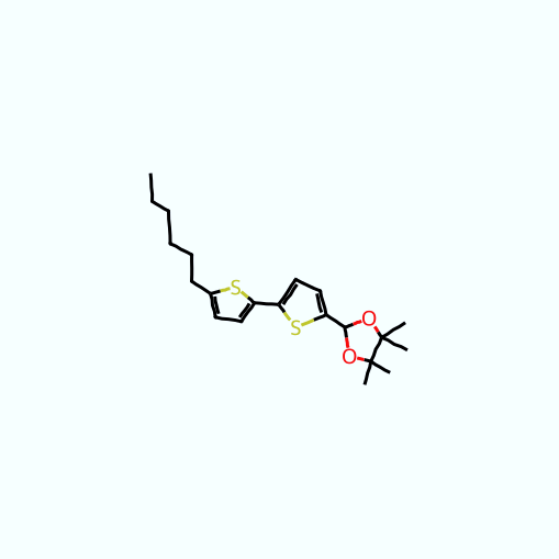 CCCCCCc1ccc(-c2ccc(C3OC(C)(C)C(C)(C)O3)s2)s1